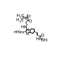 CCCCCCc1nc2cc(C=CC(=O)NO)ccn2c1NCCC(=O)N(CC)N(C)C